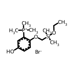 CCO[Si](C)(C)COc1ccc(O)cc1[P+](C)(C)C.[Br-]